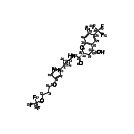 O=C(NC12CC(n3cc(OCCCOC(F)(F)F)cn3)(C1)C2)[C@H]1C[C@@H](O)c2cc(C(F)(F)F)c(F)cc2O1